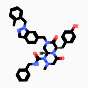 Cc1ccccc1Cn1ncc2ccc(CN3C[C@H]4N(C(=O)CN(C)N4C(=O)NCc4ccccc4)[C@@H](Cc4ccc(O)cc4)C3=O)cc21